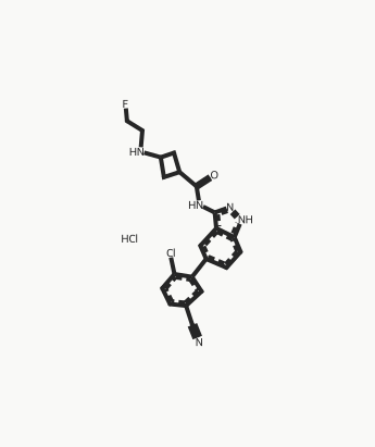 Cl.N#Cc1ccc(Cl)c(-c2ccc3[nH]nc(NC(=O)C4CC(NCCF)C4)c3c2)c1